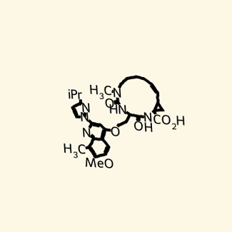 COc1ccc2c(OCCC3NC(=O)N(C)CCCCC=CC4CC4(C(=O)O)NC3=O)cc(-n3ccc(C(C)C)n3)nc2c1C